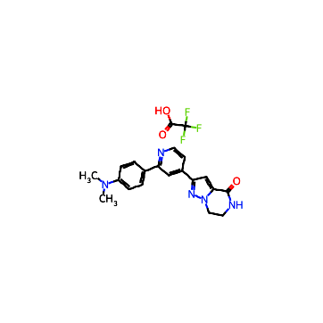 CN(C)c1ccc(-c2cc(-c3cc4n(n3)CCNC4=O)ccn2)cc1.O=C(O)C(F)(F)F